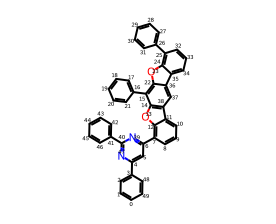 c1ccc(-c2cc(-c3cccc4c3oc3c(-c5ccccc5)c5oc6c(-c7ccccc7)cccc6c5cc34)nc(-c3ccccc3)n2)cc1